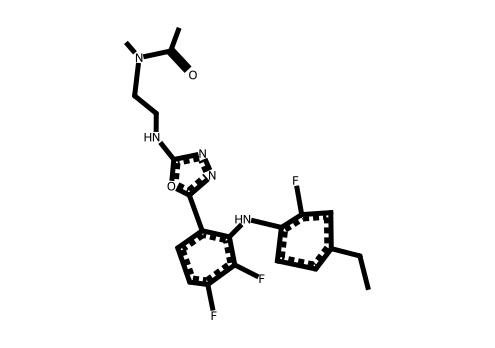 CCc1ccc(Nc2c(-c3nnc(NCCN(C)C(C)=O)o3)ccc(F)c2F)c(F)c1